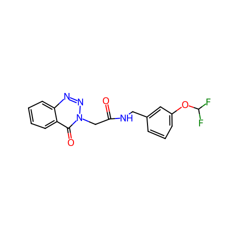 O=C(Cn1nnc2ccccc2c1=O)NCc1cccc(OC(F)F)c1